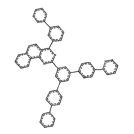 c1ccc(-c2ccc(-c3cc(-c4ccc(-c5ccccn5)cc4)cc(-c4nc(-c5cccc(-c6ccccc6)c5)c5ccc6ccccc6c5n4)c3)cc2)cc1